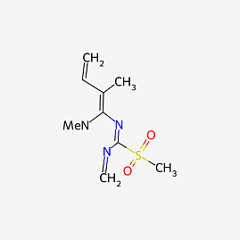 C=C/C(C)=C(/N=C(\N=C)S(C)(=O)=O)NC